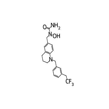 NC(=O)N(O)Cc1ccc2c(c1)CCCN2Cc1cccc(CC(F)(F)F)c1